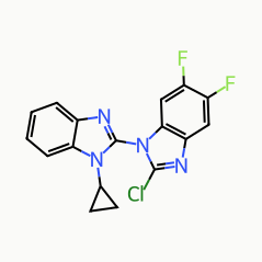 Fc1cc2nc(Cl)n(-c3nc4ccccc4n3C3CC3)c2cc1F